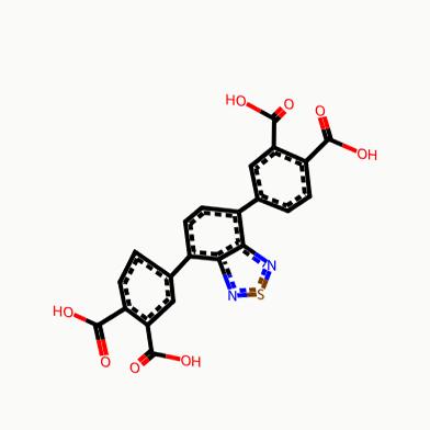 O=C(O)c1ccc(-c2ccc(-c3ccc(C(=O)O)c(C(=O)O)c3)c3nsnc23)cc1C(=O)O